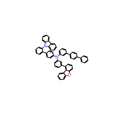 c1ccc(-c2ccc(-c3cccc(N(c4ccc(-c5ccccc5-n5c6ccccc6c6ccccc65)cc4)c4cccc(-c5cccc6oc7ccccc7c56)c4)c3)cc2)cc1